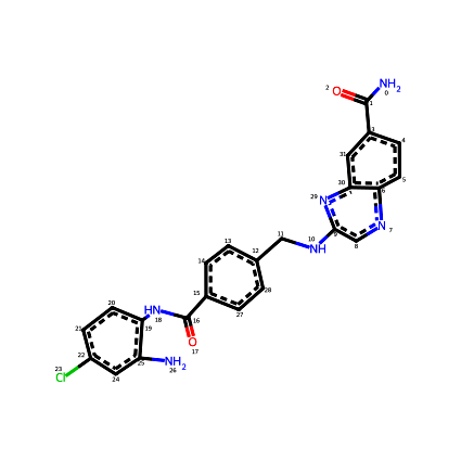 NC(=O)c1ccc2ncc(NCc3ccc(C(=O)Nc4ccc(Cl)cc4N)cc3)nc2c1